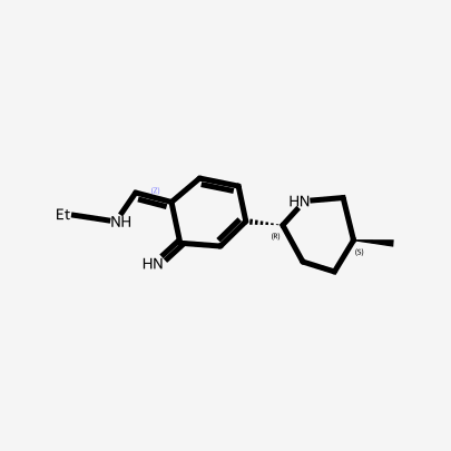 CCN/C=C1/C=CC([C@H]2CC[C@H](C)CN2)=CC1=N